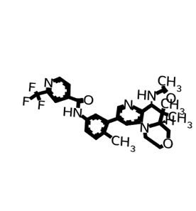 CC(=O)N[C@H]1c2ncc(-c3cc(NC(=O)c4ccnc(C(F)(F)F)c4)ccc3C)cc2N2CCOC[C@H]2C1(C)C